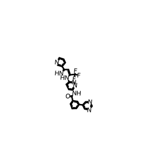 N=C(/C=C(\Nc1ccc(NC(=O)c2cccc(-c3cncnc3)c2)nn1)C(F)(F)F)c1cccnc1